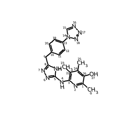 Cc1nc(Nc2nnc(Cc3ccc(-n4cnnn4)cc3)[nH]2)c(C)c(C)c1O